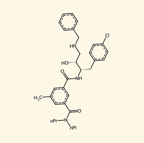 CCCN(CCC)C(=O)c1cc(C)cc(C(=O)N[C@@H](Cc2ccc(Cl)cc2)[C@H](O)CNCc2ccccc2)c1